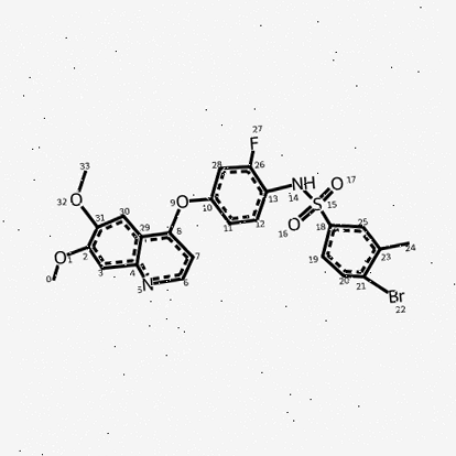 COc1cc2nccc(Oc3ccc(NS(=O)(=O)c4ccc(Br)c(C)c4)c(F)c3)c2cc1OC